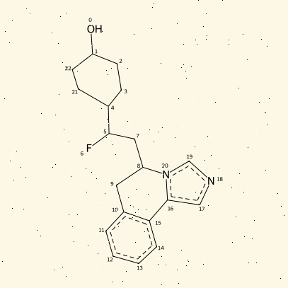 OC1CCC(C(F)CC2Cc3ccccc3-c3cncn32)CC1